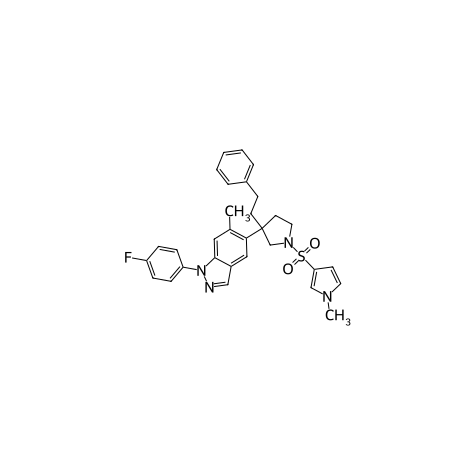 Cc1cc2c(cnn2-c2ccc(F)cc2)cc1C1(CCc2ccccc2)CCN(S(=O)(=O)c2ccn(C)c2)C1